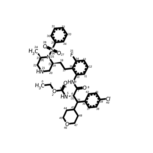 CCOC(=O)N[C@H](C(=O)Nc1cccc(F)c1CC[C@H]1CNC[C@@H](C)N1S(=O)(=O)c1ccccc1)C(c1ccc(Cl)cc1)C1CCOCC1